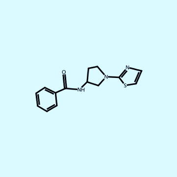 O=C(NC1CCN(c2nccs2)C1)c1ccccc1